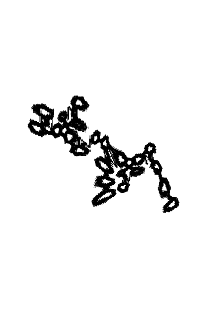 c1ccc(-c2ccc(-c3ccc(-n4c5ccccc5c5cc6c(cc54)C4(c5cc7c(cc5-6)c5ccc(-c6cccc(-n8c9ccccc9c9cc%10c(cc98)C8(c9cc%11c(cc9-%10)c9ccccc9n%11-c9ccccc9)c9ccccc9N(c9ccccc9)c9ccccc98)c6)cc5n7-c5cccc(-c6ccc(-c7ccccc7)cc6)c5)c5ccccc5N(c5ccccc5)c5ccccc54)cc3)cc2)cc1